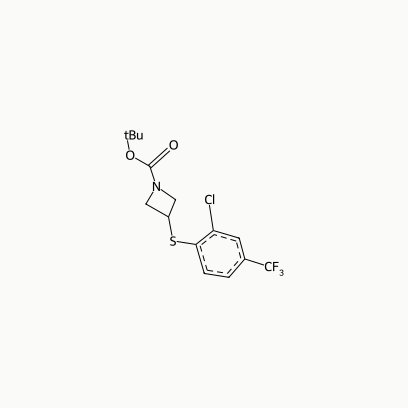 CC(C)(C)OC(=O)N1CC(Sc2ccc(C(F)(F)F)cc2Cl)C1